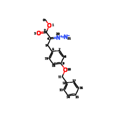 COC(=O)C(Cc1ccc(OCc2ccccc2)cc1)=[N+]=[N-]